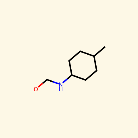 CC1CCC(NC[O])CC1